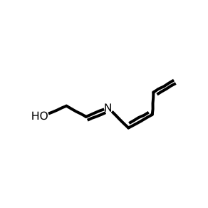 C=C/C=C\N=CCO